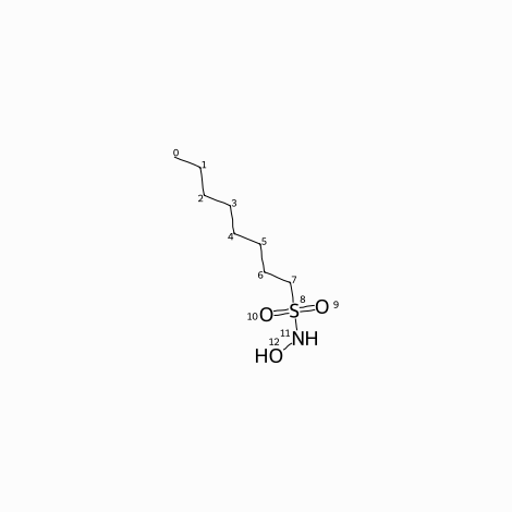 CCCCCCCCS(=O)(=O)NO